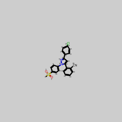 CS(=O)(=O)c1ccc(-n2nc(-c3ccc(Cl)cc3)cc2-c2ccccc2C#N)cc1